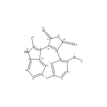 COc1ccc(C)cc1C1=C(c2c(C)[nH]c3ccccc23)C(=O)CC1=O